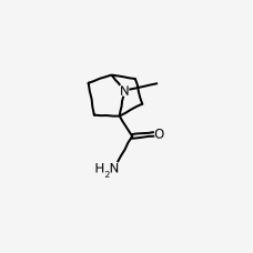 CN1C2CCC1(C(N)=O)CC2